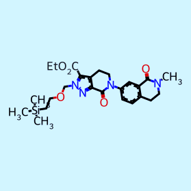 CCOC(=O)c1c2c(nn1COCC[Si](C)(C)C)C(=O)N(c1ccc3c(c1)C(=O)N(C)CC3)CC2